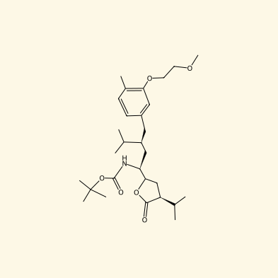 COCCOc1cc(C[C@@H](C[C@H](NC(=O)OC(C)(C)C)C2C[C@@H](C(C)C)C(=O)O2)C(C)C)ccc1C